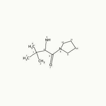 CC(C)(C)C([NH])C(=O)N1CCCC1